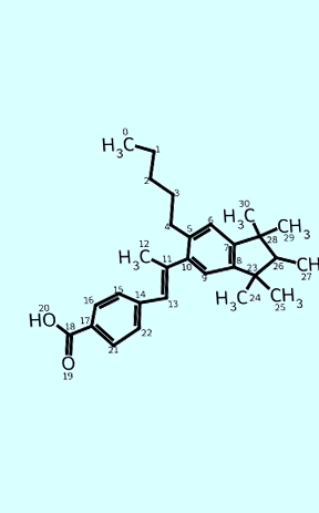 CCCCCc1cc2c(cc1/C(C)=C/c1ccc(C(=O)O)cc1)C(C)(C)C(C)C2(C)C